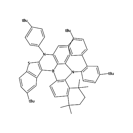 Cc1cc2c3c(c1)N(c1ccc(C(C)(C)C)cc1-c1ccc(C(C)(C)C)cc1)c1c(ccc4c1C(C)(C)CCC4(C)C)B3c1c(sc3ccc(C(C)(C)C)cc13)N2c1ccc(C(C)(C)C)cc1